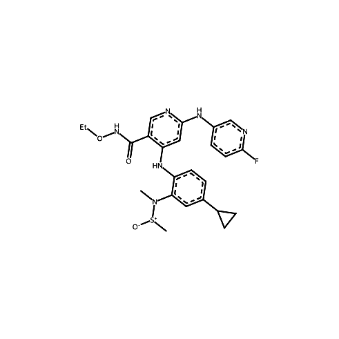 CCONC(=O)c1cnc(Nc2ccc(F)nc2)cc1Nc1ccc(C2CC2)cc1N(C)[S+](C)[O-]